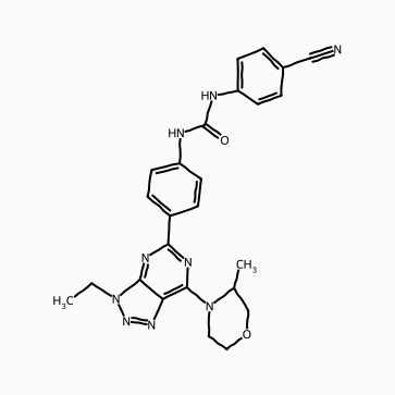 CCn1nnc2c(N3CCOCC3C)nc(-c3ccc(NC(=O)Nc4ccc(C#N)cc4)cc3)nc21